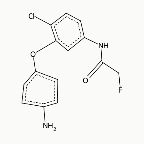 Nc1ccc(Oc2cc(NC(=O)CF)ccc2Cl)cc1